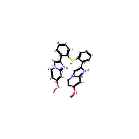 COc1ccn2cc(-c3ccccc3Sc3ccccc3-c3cn4ccc(OC)cc4n3)nc2c1